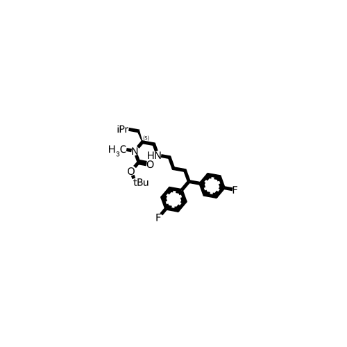 CC(C)C[C@@H](CNCCCC(c1ccc(F)cc1)c1ccc(F)cc1)N(C)C(=O)OC(C)(C)C